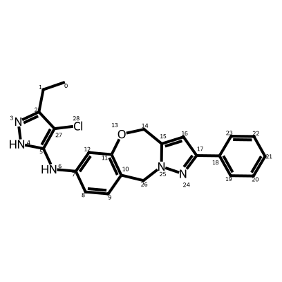 CCc1n[nH]c(Nc2ccc3c(c2)OCc2cc(-c4ccccc4)nn2C3)c1Cl